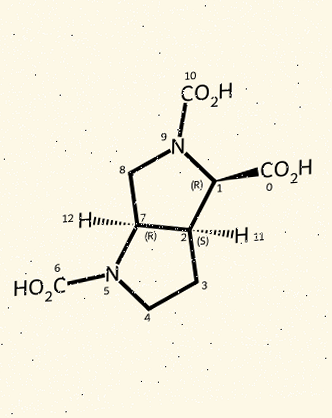 O=C(O)[C@H]1[C@H]2CCN(C(=O)O)[C@H]2CN1C(=O)O